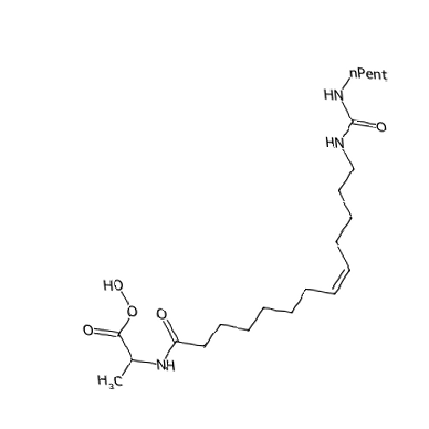 CCCCCNC(=O)NCCCC/C=C\CCCCCCC(=O)NC(C)C(=O)OO